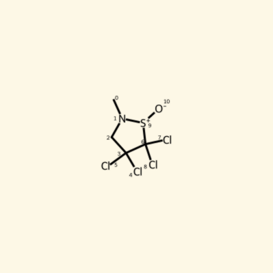 CN1CC(Cl)(Cl)C(Cl)(Cl)[S+]1[O-]